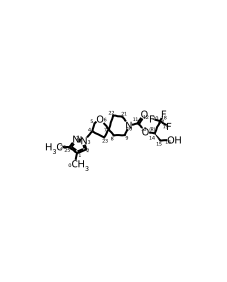 Cc1cn(C2COC3(CCN(C(=O)O[C@H](CO)C(F)(F)F)CC3)C2)nc1C